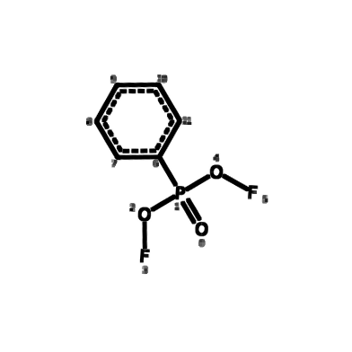 O=P(OF)(OF)c1ccccc1